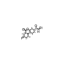 CCNC(=O)c1ccc2c(c1)oc(=O)c1cc(F)ccc12